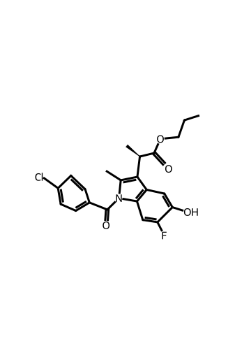 CCCOC(=O)[C@H](C)c1c(C)n(C(=O)c2ccc(Cl)cc2)c2cc(F)c(O)cc12